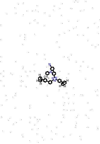 Cc1cc(-c2cccc(-c3nc(-c4ccc(C56C[C@H]7C[C@H](C5)C[C@@H](C6)C7)cc4)nc(-c4ccc5c6ccc(C#N)cc6n(-c6ccccc6)c5c4)n3)c2)ccc1C12C[C@H]3C[C@@H](C1)C[C@@H](C2)C3